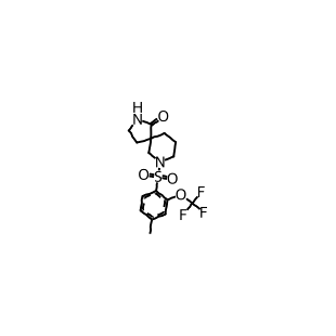 Cc1ccc(S(=O)(=O)N2CCCC3(CCNC3=O)C2)c(OC(F)(F)F)c1